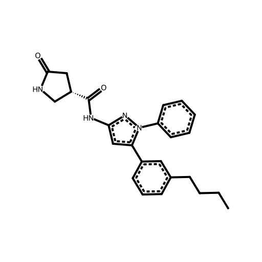 CCCCc1cccc(-c2cc(NC(=O)[C@@H]3CNC(=O)C3)nn2-c2ccccc2)c1